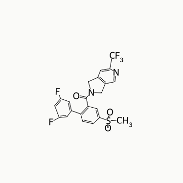 CS(=O)(=O)c1ccc(-c2cc(F)cc(F)c2)c(C(=O)N2Cc3cnc(C(F)(F)F)cc3C2)c1